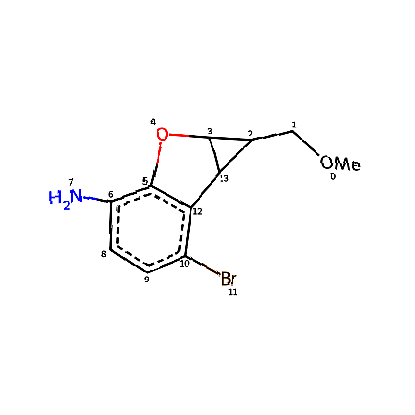 COCC1C2Oc3c(N)ccc(Br)c3C12